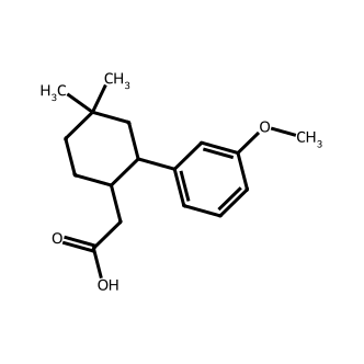 COc1cccc(C2CC(C)(C)CCC2CC(=O)O)c1